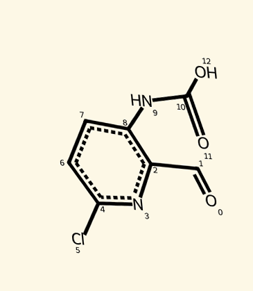 O=Cc1nc(Cl)ccc1NC(=O)O